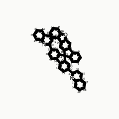 c1ccc2c(c1)-c1cc3oc4ccccc4c3cc1C21c2cc(-c3ccc4ccccc4n3)ccc2-c2ccc(-c3ccc4ccccc4n3)cc21